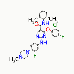 Cc1cccc(C)c1NC(=O)c1cnc(Nc2ccc(N3CCN(C)CC3)c(F)c2)nc1Oc1ccc(F)cc1Cl